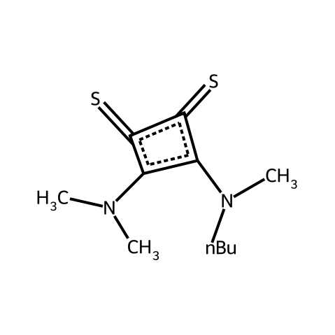 CCCCN(C)c1c(N(C)C)c(=S)c1=S